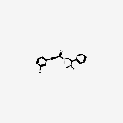 CN(C)C(CNC(=O)C#Cc1cccc(Cl)c1)c1ccccc1